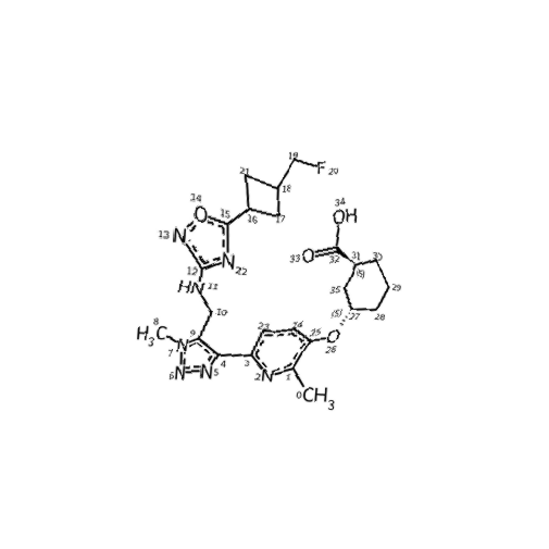 Cc1nc(-c2nnn(C)c2CNc2noc(C3CC(CF)C3)n2)ccc1O[C@H]1CCC[C@H](C(=O)O)C1